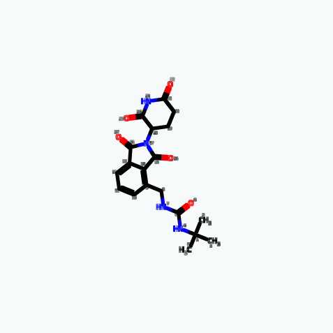 CC(C)(C)NC(=O)NCc1cccc2c1C(=O)N(C1CCC(=O)NC1=O)C2=O